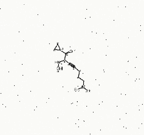 CCN(CC)CCCC#CC(NO)C(=O)C1CC1